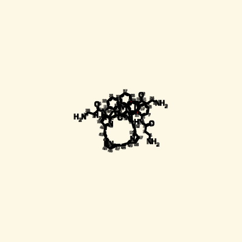 NCCC(=O)Nc1ccccc1-c1c(-c2ccccc2NC(=O)CCN)c2c(-c3ccccc3NC(=O)CCN)c3nc(cc4ccc(cc5nc(cc1n2-c1ccccc1NC(=O)CCN)C=C5)[nH]4)C=C3